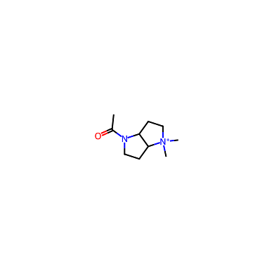 CC(=O)N1CCC2C1CC[N+]2(C)C